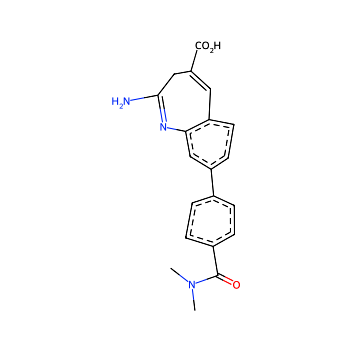 CN(C)C(=O)c1ccc(-c2ccc3c(c2)N=C(N)CC(C(=O)O)=C3)cc1